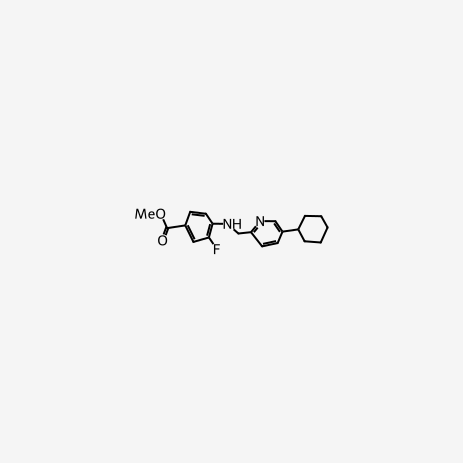 COC(=O)c1ccc(NCc2ccc(C3CCCCC3)cn2)c(F)c1